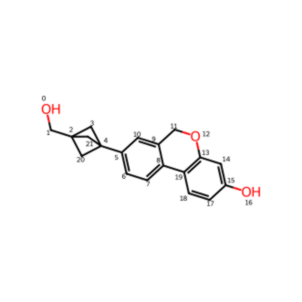 OCC12CC(c3ccc4c(c3)COc3cc(O)ccc3-4)(C1)C2